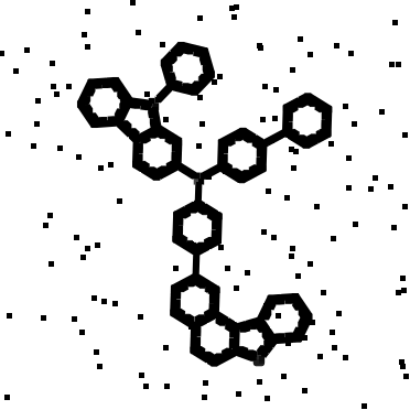 c1ccc(-c2ccc(N(c3ccc(-c4ccc5ccc6oc7ccccc7c6c5c4)cc3)c3ccc4c5ccccc5n(-c5ccccc5)c4c3)cc2)cc1